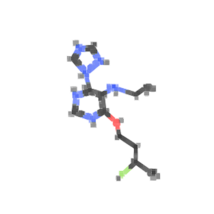 CC(C)(C)CNc1c(OCCC(F)C(F)(F)F)ncnc1-n1cncn1